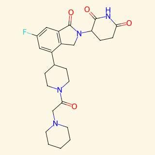 O=C1CCC(N2Cc3c(cc(F)cc3C3CCN(C(=O)CN4CCCCC4)CC3)C2=O)C(=O)N1